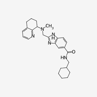 CN(Cc1nc2cc(C(=O)NCC3CCCCC3)ccc2[nH]1)C1CCCc2cccnc21